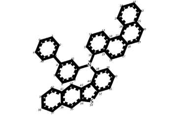 c1ccc(-c2cccc(N(c3cccc4c3ccc3ccc5ccccc5c34)c3cccc4sc5cc6ccccc6cc5c34)c2)cc1